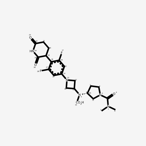 CN(C)C(=O)N1CC[C@@H](N(C(=O)O)C2CN(c3cc(F)c(C4CCC(=O)NC4=O)c(F)c3)C2)C1